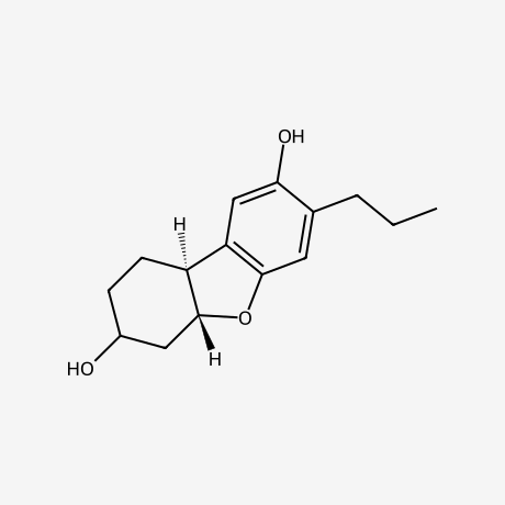 CCCc1cc2c(cc1O)[C@@H]1CCC(O)C[C@H]1O2